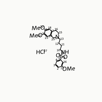 COc1cccc(S(=O)(=O)NCCCCN2CCc3cc(OC)c(OC)cc3C2)c1.Cl